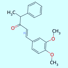 COc1ccc(/C=C/C(=O)C(C)c2ccccc2)cc1OC